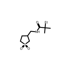 CCC(C)(C)C(=O)NCC1CCS(=O)(=O)C1